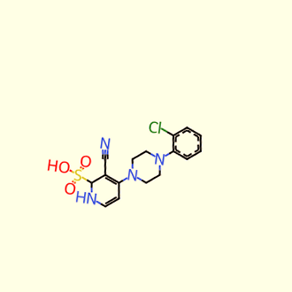 N#CC1=C(N2CCN(c3ccccc3Cl)CC2)C=CNC1S(=O)(=O)O